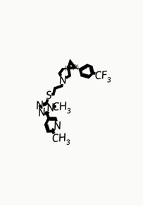 Cc1ccc(-c2nnc(SCCCN3CC[C@]4(C[C@@H]4c4ccc(C(F)(F)F)cc4)C3)n2C)cn1